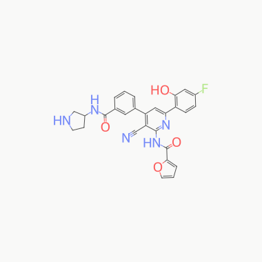 N#Cc1c(-c2cccc(C(=O)NC3CCNC3)c2)cc(-c2ccc(F)cc2O)nc1NC(=O)c1ccco1